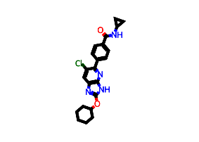 O=C(NC1CC1)c1ccc(-c2nc3[nH]c(OC4CCCCC4)nc3cc2Cl)cc1